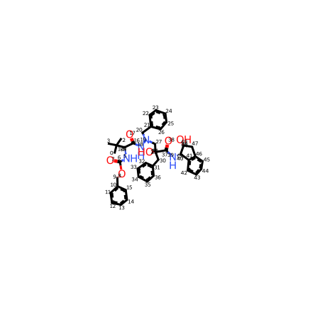 CC(C)(C)[C@H](NC(=O)OCc1ccccc1)C(=O)NN(Cc1ccccc1)C[C@](O)(Cc1ccccc1)C(=O)N[C@H]1c2ccccc2C[C@H]1O